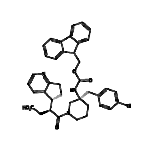 O=C(O)C[C@H](C(=O)N1CCC[C@](Cc2ccc(Cl)cc2)(NC(=O)OCC2c3ccccc3-c3ccccc32)C1)[C@H]1CCc2ncccc21